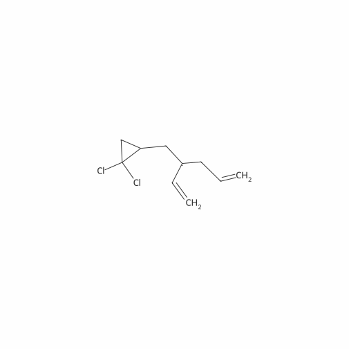 C=CC[C](C=C)CC1CC1(Cl)Cl